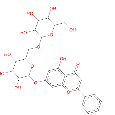 O=c1cc(-c2ccccc2)oc2cc(OC3OC(COC4OC(CO)C(O)C(O)C4O)C(O)C(O)C3O)cc(O)c12